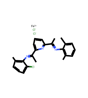 C/C(=N\c1c(C)cccc1C)c1cccc(/C(C)=N/c2c(C)cccc2Cl)n1.[Cl-].[Cl-].[Fe+2]